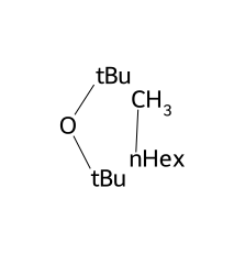 CC(C)(C)OC(C)(C)C.CCCCCCC